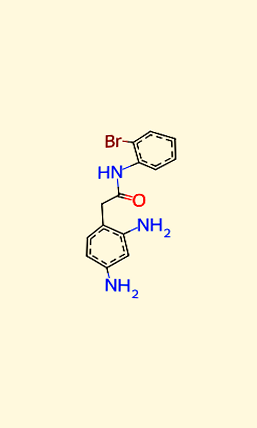 Nc1ccc(CC(=O)Nc2ccccc2Br)c(N)c1